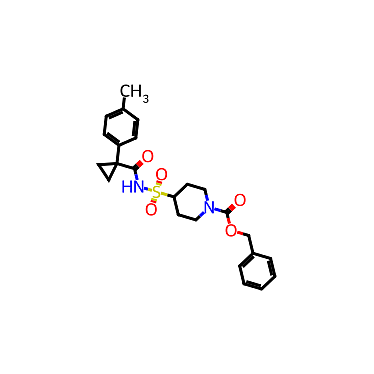 Cc1ccc(C2(C(=O)NS(=O)(=O)C3CCN(C(=O)OCc4ccccc4)CC3)CC2)cc1